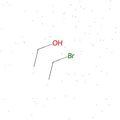 CCBr.CCO